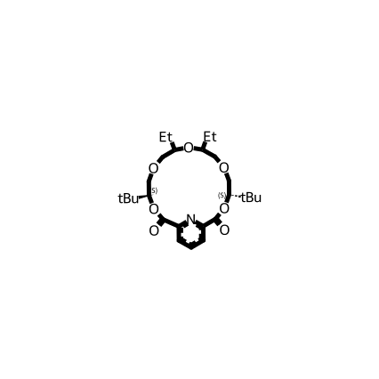 CCC1COC[C@H](C(C)(C)C)OC(=O)c2cccc(n2)C(=O)O[C@@H](C(C)(C)C)COCC(CC)O1